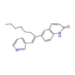 CCCCCCC(=Cc1cccnc1)c1ccc2[nH]c(=O)ccc2c1